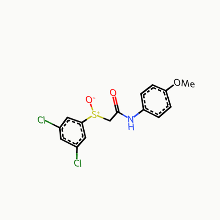 COc1ccc(NC(=O)C[S+]([O-])c2cc(Cl)cc(Cl)c2)cc1